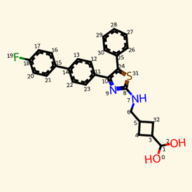 OC(O)C1CC(CNc2nc(-c3ccc(-c4ccc(F)cc4)cc3)c(-c3ccccc3)s2)C1